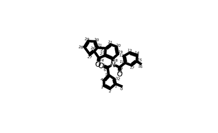 Cc1cccc(C(=O)N(C(=O)c2cccc(C)c2)c2cccc3c2C(=O)c2ccccc2-3)c1